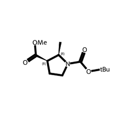 COC(=O)[C@@H]1CCN(C(=O)OC(C)(C)C)[C@@H]1C